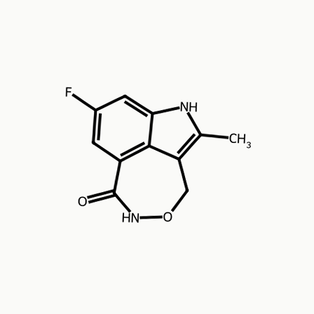 Cc1[nH]c2cc(F)cc3c2c1CONC3=O